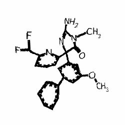 COc1cc(-c2ccccc2)cc(C2(c3cccc(C(F)F)n3)N=C(N)N(C)C2=O)c1